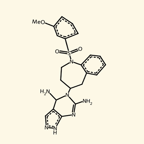 COc1cccc(S(=O)(=O)N2CCC(N3C(N)=Nc4[nH]ncc4C3N)Cc3ccccc32)c1